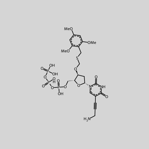 COc1cc(OC)c(CSCO[C@H]2C[C@H](n3cc(C#CCN)c(=O)[nH]c3=O)O[C@@H]2COP(=O)(O)OP(=O)(O)OP(=O)(O)O)c(OC)c1